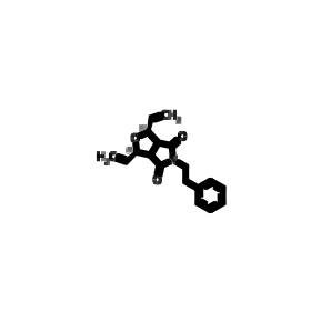 C=C[C@@H]1O[C@H](C=C)C2C(=O)N(CCc3ccccc3)C(=O)C21